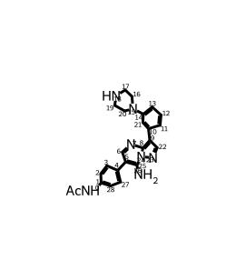 CC(=O)Nc1ccc(-c2cnc3c(-c4cccc(N5CCNCC5)c4)cnn3c2N)cc1